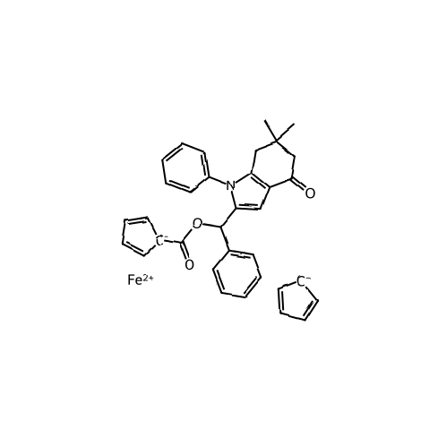 CC1(C)CC(=O)c2cc(C(OC(=O)[c-]3cccc3)c3ccccc3)n(-c3ccccc3)c2C1.[Fe+2].c1cc[cH-]c1